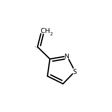 C=[C]c1ccsn1